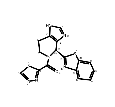 O=C(c1nncs1)N1CCc2[nH]cnc2[C@H]1c1nc2ccccc2s1